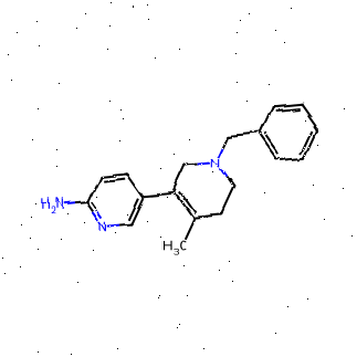 CC1=C(c2ccc(N)nc2)CN(Cc2ccccc2)CC1